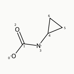 [O]C(=O)[N]C1CC1